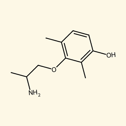 Cc1ccc(O)c(C)c1OCC(C)N